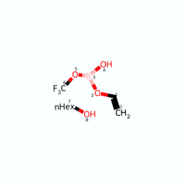 C=COB(O)OC(F)(F)F.CCCCCCO